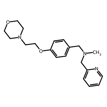 CN(Cc1ccc(OCCN2CCOCC2)cc1)Cc1ccccn1